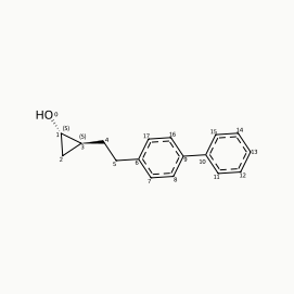 O[C@H]1C[C@@H]1CCc1ccc(-c2ccccc2)cc1